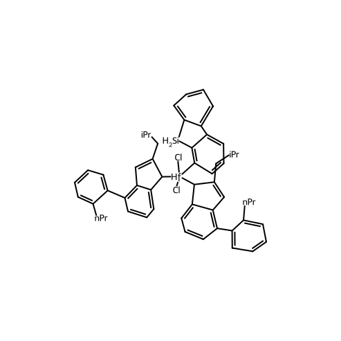 CCCc1ccccc1-c1cccc2c1C=C(CC(C)C)[CH]2[Hf]([Cl])([Cl])([c]1cccc2c1[SiH2]c1ccccc1-2)[CH]1C(CC(C)C)=Cc2c(-c3ccccc3CCC)cccc21